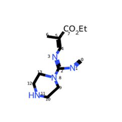 C=N/C(=N\C=C(/C)C(=O)OCC)N1CCNCC1